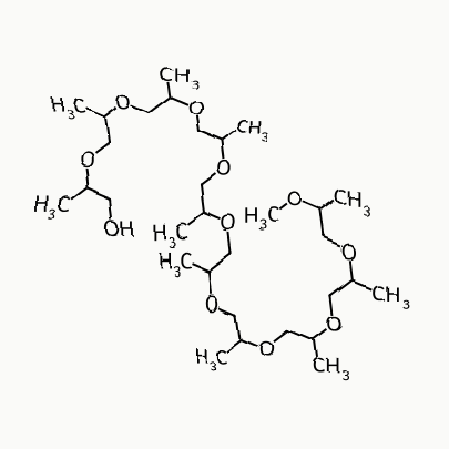 COC(C)COC(C)COC(C)COC(C)COC(C)COC(C)COC(C)COC(C)COC(C)COC(C)CO